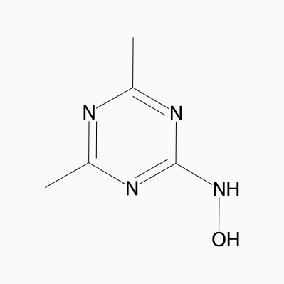 Cc1nc(C)nc(NO)n1